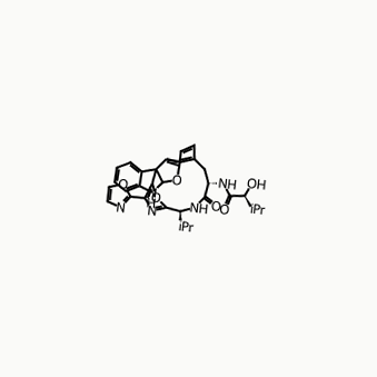 CC(C)[C@H](O)C(=O)N[C@H]1Cc2ccc3c(c2)C2(c4ccccc4NC2O3)c2oc(nc2-c2ncco2)[C@H](C(C)C)NC1=O